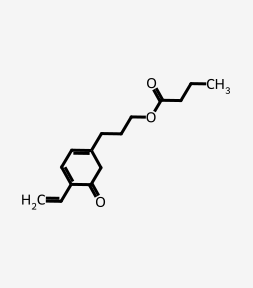 C=CC1=CC=C(CCCOC(=O)CCC)CC1=O